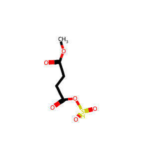 COC(=O)CCC(=O)O[SH](=O)=O